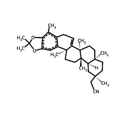 Cc1c2c(cc3c1OC(C)(C)O3)[C@]1(C)CC[C@@]3(C)[C@@H]4C[C@](C)(CC#N)CC[C@]4(C)CC[C@]3(C)C1=CC2